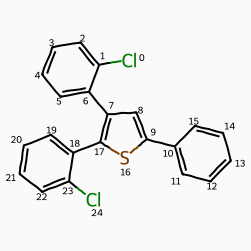 Clc1ccccc1-c1cc(-c2ccccc2)sc1-c1ccccc1Cl